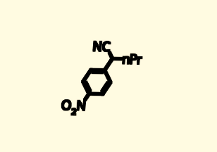 CCCC(C#N)c1ccc([N+](=O)[O-])cc1